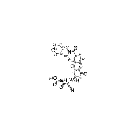 N#C/C(=N\Nc1cc(Cl)c(Oc2ccc3c(c2)CCN(CC2CCOCC2)C3=O)c(Cl)c1)C(=O)NC(=O)O